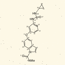 CNC(=O)n1ccc2cc(Oc3ccnc(NC(=O)NC4CC4)c3)ccc21